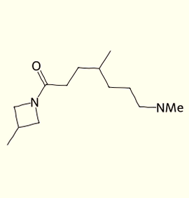 CNCCCC(C)CCC(=O)N1CC(C)C1